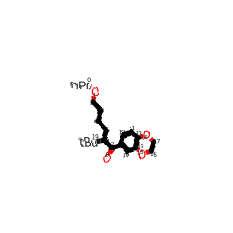 CCCOCCCCC(C(=O)c1ccc2c(c1)OCCO2)C(C)(C)C